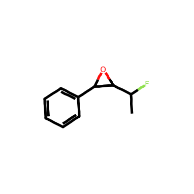 CC(F)C1OC1c1ccccc1